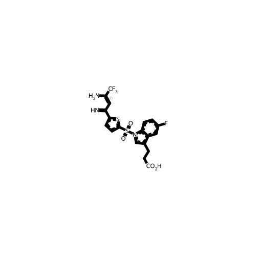 N=C(/C=C(\N)C(F)(F)F)c1ccc(S(=O)(=O)n2cc(CCC(=O)O)c3cc(F)ccc32)s1